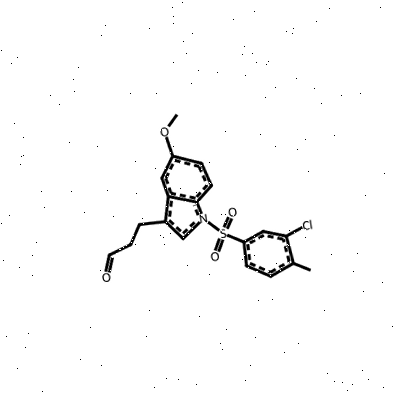 COc1ccc2c(c1)c(CCC=O)cn2S(=O)(=O)c1ccc(C)c(Cl)c1